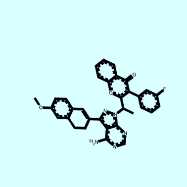 COc1ccc2c(c1)CCC(c1nn(C(C)c3oc4ccccc4c(=O)c3-c3cccc(F)c3)c3ncnc(N)c13)=C2